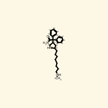 CNCCCCCCCCC1CC(C(C(N)=O)(c2ccccc2)c2ccccc2)CN1